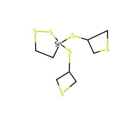 C1[CH2][Sn]([S]C2CSC2)([S]C2CSC2)[S]S1